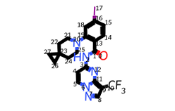 O=C(Nc1ccn2ncc(C(F)(F)F)c2n1)c1ccc(I)cc1N1CCC2(CC1)CC2